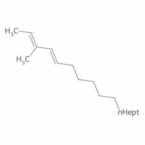 C/[C]=C(\C)C=CCCCCCCCCCCCC